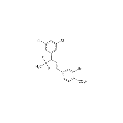 CC(F)(F)C(C=Cc1ccc(C(=O)O)c(Br)c1)c1cc(Cl)cc(Cl)c1